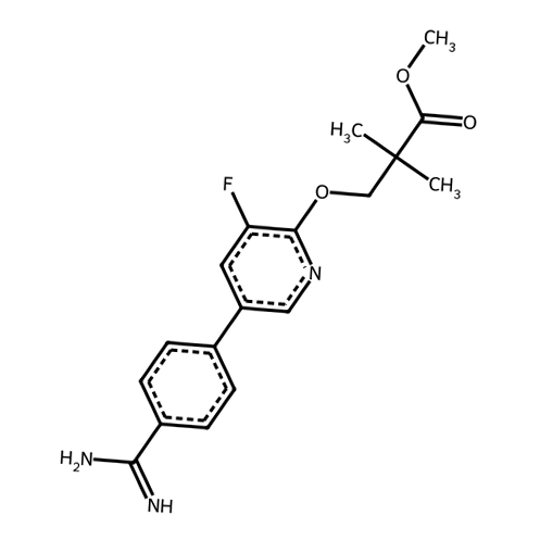 COC(=O)C(C)(C)COc1ncc(-c2ccc(C(=N)N)cc2)cc1F